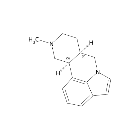 CN1CC[C@H]2Cn3ccc4cccc(c43)[C@H]2C1